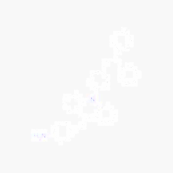 Nc1ccc(C=C2c3ccccc3N(c3ccc(C=C(c4ccccc4)c4ccccc4)cc3)c3ccccc32)cc1